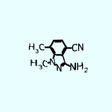 Cc1ccc(C#N)c2c(N)nn(C)c12